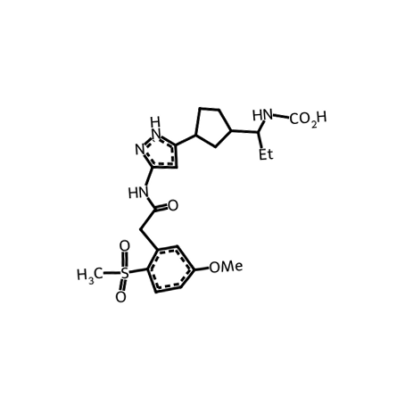 CCC(NC(=O)O)C1CCC(c2cc(NC(=O)Cc3cc(OC)ccc3S(C)(=O)=O)n[nH]2)C1